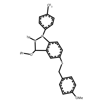 [2H]N1C(OC(C)C)c2cc(SCc3ccc(OC)cc3)ccc2N1c1ccc(C(F)(F)F)cc1